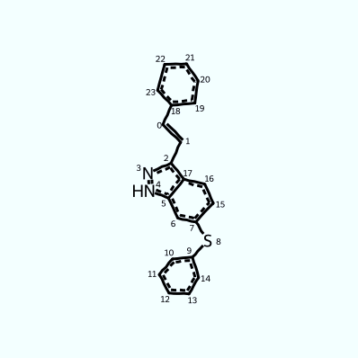 C(=Cc1n[nH]c2cc(Sc3ccccc3)ccc12)c1ccccc1